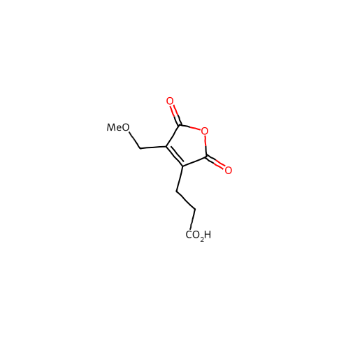 COCC1=C(CCC(=O)O)C(=O)OC1=O